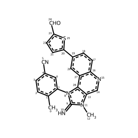 Cc1ccc(C#N)cc1-n1c(=N)n(C)c2cnc3ccc(-c4ccc(C=O)s4)cc3c21